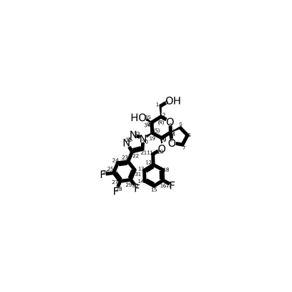 OC[C@H]1O[C@@]2(CCCO2)[C@H](OCc2cccc(F)c2)[C@@H](n2cc(-c3cc(F)c(F)c(F)c3)nn2)[C@H]1O